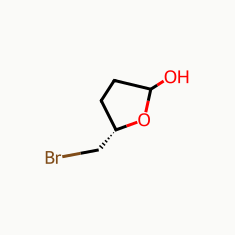 OC1CC[C@@H](CBr)O1